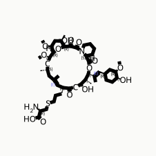 CO[C@H]1C[C@@H](C)C/C(C)=C/[C@@H](CCCSC[C@H](N)C(=O)O)C(=O)C[C@H](O)[C@@H](C)[C@@H](/C(C)=C/[C@@H]2CC[C@@H](O)[C@H](OC)C2)OC(=O)[C@@H]2CCCCN2C(=O)C(=O)[C@]2(O)O[C@H]1[C@@H](OC)C[C@H]2C